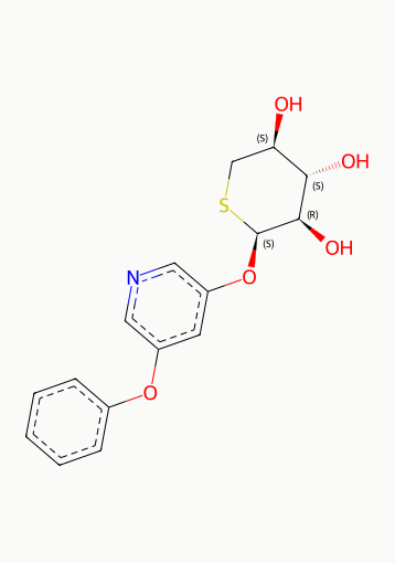 O[C@@H]1[C@@H](O)[C@@H](Oc2cncc(Oc3ccccc3)c2)SC[C@H]1O